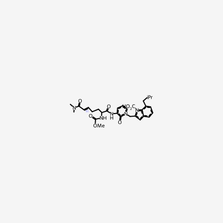 COC(=O)NC(CC/C=C/C(=O)N(C)C)C(=O)Nc1cccn(Cc2cc3cccc(CC(C)C)c3n2C(=O)O)c1=O